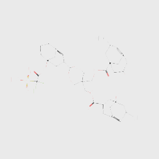 CC1C=C2CC(C(=O)OCC3(COC(=O)C45CC(=CC(C)C4)CC(O)C5)COC(C4C=C5CCCC(OC(=O)C(F)(F)S(=O)(=O)O)(C5)C4)OC3)CC(O)(C2)C1